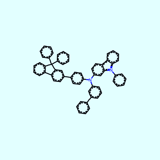 c1ccc(-c2cccc(N(c3ccc(-c4ccc5c(c4)C(c4ccccc4)(c4ccccc4)c4ccccc4-5)cc3)c3ccc4c5ccccc5n(-c5ccccc5)c4c3)c2)cc1